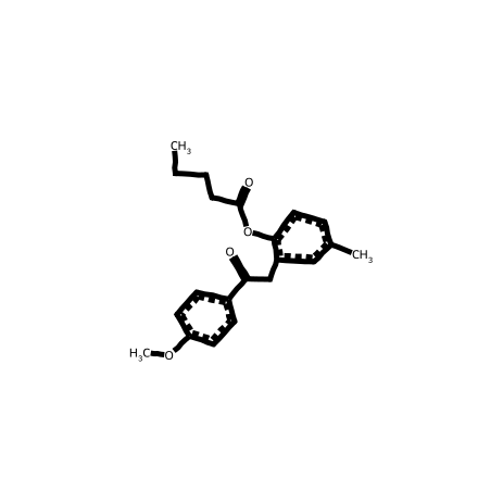 CCCCC(=O)Oc1ccc(C)cc1CC(=O)c1ccc(OC)cc1